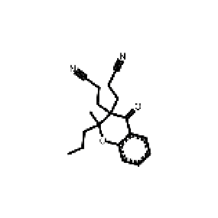 CCCC1(C)Oc2ccccc2C(=O)C1(CCC#N)CCC#N